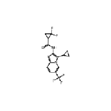 O=C(Nc1nc2ccc(C(F)(F)F)cn2c1C1CC1)C1CC1(F)F